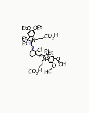 C#COc1cc2c(cc1OC#C)C(CC)(CC)C(/C=C/C1=C(Cl)C(=C/C=C3\N(CCCC(=O)O)c4cc(OCC)c(OCC)cc4C3(CC)CC)/CCC1)=[N+]2CCCC(=O)O